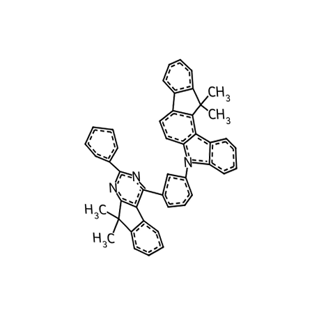 CC1(C)c2ccccc2-c2c(-c3cccc(-n4c5ccccc5c5c6c(ccc54)-c4ccccc4C6(C)C)c3)nc(-c3ccccc3)nc21